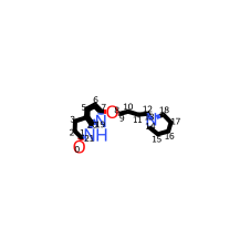 O=C1CCc2ccc(OCCCCN3CCCCC3)nc2N1